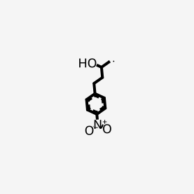 [CH2]C(O)CCc1ccc([N+](=O)[O-])cc1